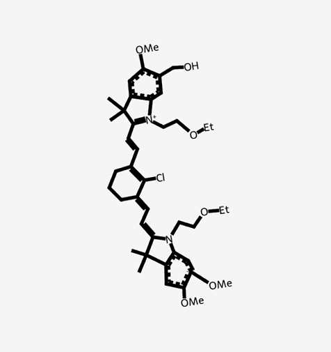 CCOCCN1/C(=C\C=C2/CCCC(/C=C/C3=[N+](CCOCC)c4cc(CO)c(OC)cc4C3(C)C)=C2Cl)C(C)(C)c2cc(OC)c(OC)cc21